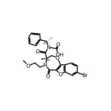 COCCN1C(=O)c2oc3cc(Br)ccc3c2OC[C@@]1(C)C(=O)N(C(=O)O)[C@@H](C)c1ccccc1